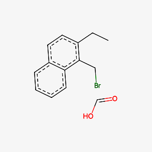 CCc1ccc2ccccc2c1CBr.O=CO